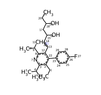 CCc1c(C(C)C)nc(C(C)C)c(/C=C/C(O)CC(O)CC)c1-c1ccc(F)cc1